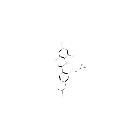 O=C(Nc1c(Cl)c[n+]([O-])cc1Cl)c1ccc(OC(F)F)cc1OCC1CC1